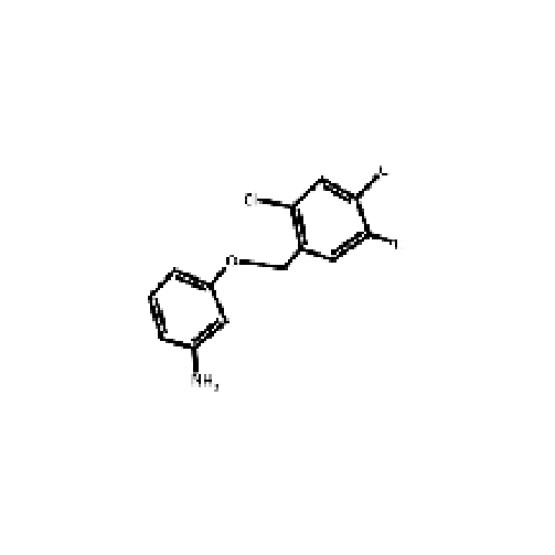 Nc1cccc(OCc2cc(Cl)c(Cl)cc2Cl)c1